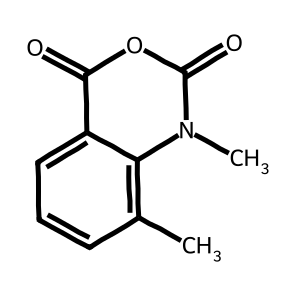 Cc1cccc2c(=O)oc(=O)n(C)c12